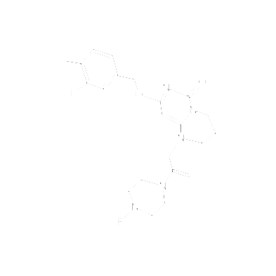 O=C(CN1CCCn2c1cc(OCc1ccc(F)c(F)c1)nc2=O)N1CCN(F)CC1